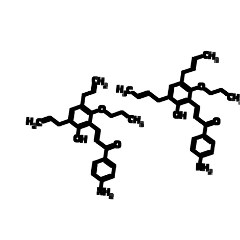 C=CCc1cc(CC=C)c(OCCC)c(C=CC(=O)c2ccc(N)cc2)c1O.CC=CCc1cc(CC=CC)c(OCCC)c(C=CC(=O)c2ccc(N)cc2)c1O